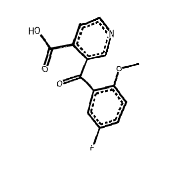 COc1ccc(F)cc1C(=O)c1cnccc1C(=O)O